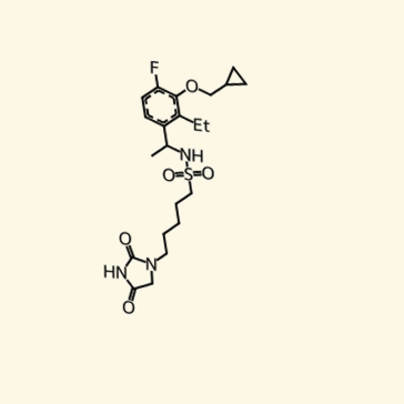 CCc1c(C(C)NS(=O)(=O)CCCCCN2CC(=O)NC2=O)ccc(F)c1OCC1CC1